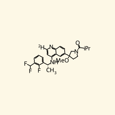 [2H]c1cc(N[C@H](C)c2cccc(C(F)F)c2F)c2cc([C@@]3(OC)CCN(C(=O)C(C)C)C3)ccc2n1